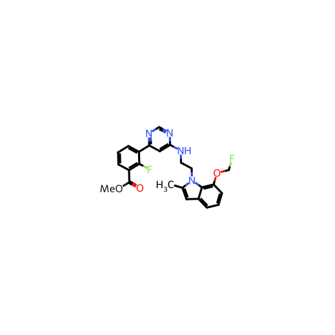 COC(=O)c1cccc(-c2cc(NCCn3c(C)cc4cccc(OCF)c43)ncn2)c1F